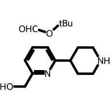 CC(C)(C)OC=O.OCc1cccc(C2CCNCC2)n1